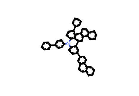 c1ccc(-c2ccc(N(c3ccc(-c4ccccc4)cc3)c3ccc(-c4ccc5c(ccc6ccccc65)c4)cc3-c3ccc4ccc5ccccc5c4c3)cc2)cc1